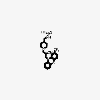 O=S(O)NCC1CCN(CC(O)CN2c3ccccc3Sc3ccc(C(F)(F)F)cc32)CC1